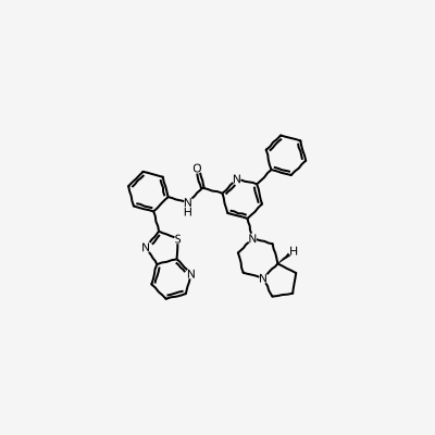 O=C(Nc1ccccc1-c1nc2cccnc2s1)c1cc(N2CCN3CCC[C@H]3C2)cc(-c2ccccc2)n1